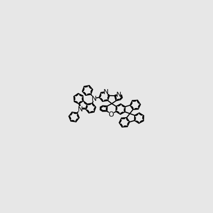 c1ccc(N(c2cnc3c(c2)C2(c4ccccc4Oc4cc5c(cc42)-c2ccccc2C52c4ccccc4-c4ccccc42)c2cccnc2-3)c2cccc3c2c2ccccc2n3-c2ccccc2)cc1